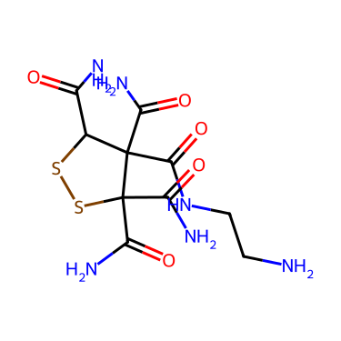 NCCNC(=O)C1(C(N)=O)C(C(N)=O)SSC1(C(N)=O)C(N)=O